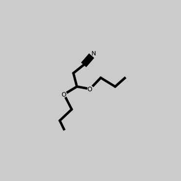 CCCOC(CC#N)OCCC